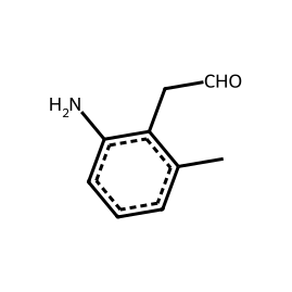 Cc1cccc(N)c1CC=O